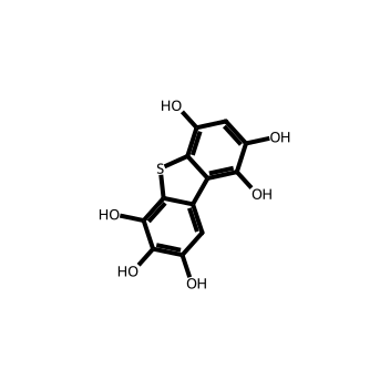 Oc1cc2c(sc3c(O)cc(O)c(O)c32)c(O)c1O